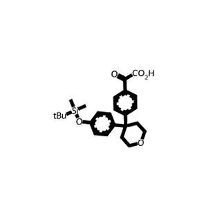 CC(C)(C)[Si](C)(C)Oc1ccc(C2(c3ccc(C(=O)C(=O)O)cc3)CCOCC2)cc1